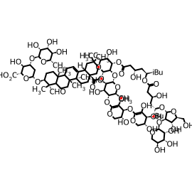 CC[C@H](C)[C@H](C[C@H](O)CC(=O)O[C@H]1[C@@H](O)[C@@H](C)O[C@@H](OC(=O)[C@]23CCC(C)(C)C[C@H]2C2=CCC4[C@@]5(C)CC[C@H](O[C@H]6C[C@@H](O[C@@H]7O[C@@H](C)[C@H](O)[C@@H](O)[C@H]7O)[C@H](O)[C@@H](C(=O)O)O6)[C@@](C)(C=O)C5CC[C@@]4(C)[C@]2(C)CC3)[C@@H]1O[C@@H]1O[C@@H](C)[C@H](OC2=C(O)[C@@H](OC3=C(O)[C@@H](O)[C@H](O)CO3)[C@H](O)CO2)[C@@H](O)[C@H]1O)OC(=O)C[C@@H](O)C[C@H](O[C@@H]1O[C@@H](CO)[C@H](O)[C@H]1O[C@@H]1OC[C@H](O)[C@@H](O)[C@H]1O)[C@@H](C)CC